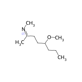 CCCC(CC/C(C)=N\C)OC